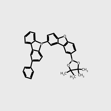 CC1(C)OB(c2ccc3oc4ccc(-n5c6ccccc6c6cc(-c7ccccc7)ccc65)cc4c3c2)OC1(C)C